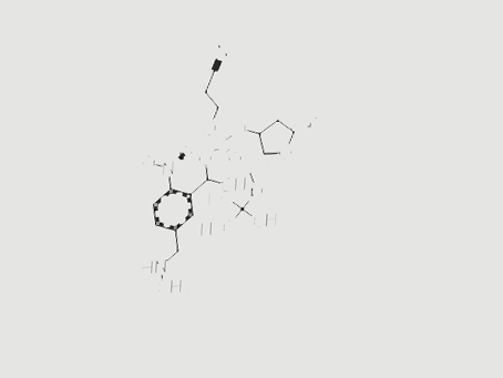 CNCc1ccc([N+](=O)[O-])c(C(C)OP(=O)(OCCC#N)OC2C[C@H](C)O[C@@H]2COC(C)(C)C)c1